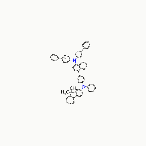 CC1(C)c2ccccc2-c2ccc(N(c3ccccc3)c3ccc(-c4ccc(N(c5ccc(-c6ccccc6)cc5)c5ccc(-c6ccccc6)cc5)c5ccccc45)cc3)cc21